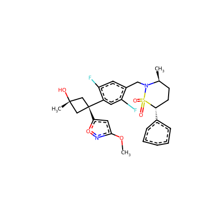 COc1cc([C@]2(c3cc(F)c(CN4[C@@H](C)CC[C@H](c5ccccc5)S4(=O)=O)cc3F)C[C@@](C)(O)C2)on1